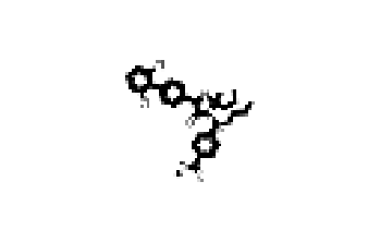 CCCC[C@H](c1ccc(C(=O)OC)cc1)N1C(=O)C(c2ccc(-c3c(Cl)cccc3Cl)cc2)=NC1(C)CCC